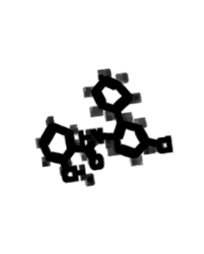 Cc1ccccc1C(=O)Nc1ccc(Cl)cc1-c1ccccc1